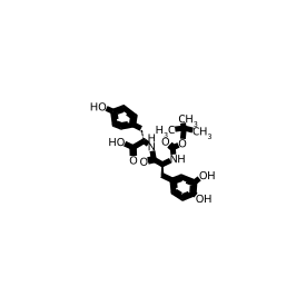 CC(C)(C)OC(=O)N[C@@H](Cc1ccc(O)c(O)c1)C(=O)N[C@@H](Cc1ccc(O)cc1)C(=O)O